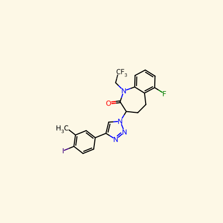 Cc1cc(-c2cn(C3CCc4c(F)cccc4N(CC(F)(F)F)C3=O)nn2)ccc1I